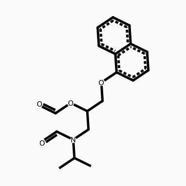 CC(C)N(C=O)CC(COc1cccc2ccccc12)OC=O